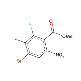 COC(=O)c1c([N+](=O)[O-])cc(Br)c(C)c1F